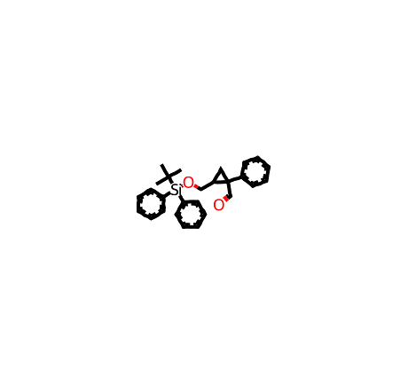 CC(C)(C)[Si](OCC1CC1(C=O)c1ccccc1)(c1ccccc1)c1ccccc1